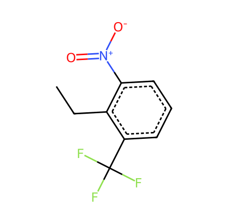 CCc1c([N+](=O)[O-])cccc1C(F)(F)F